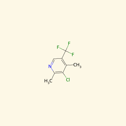 Cc1ncc(C(F)(F)F)c(C)c1Cl